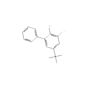 Nc1cc(C(F)(F)F)cc(-c2ccccc2)c1N